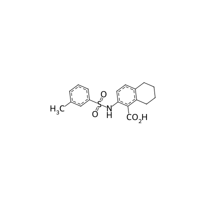 Cc1cccc(S(=O)(=O)Nc2ccc3c(c2C(=O)O)CCCC3)c1